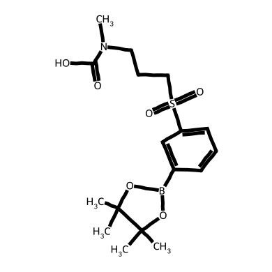 CN(CCCS(=O)(=O)c1cccc(B2OC(C)(C)C(C)(C)O2)c1)C(=O)O